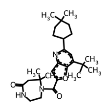 CC1(C)CCC(c2cc(C(C)(C)C)c3oc(C(=O)N4CCNC(=O)CC4(C)C)cc3n2)CC1